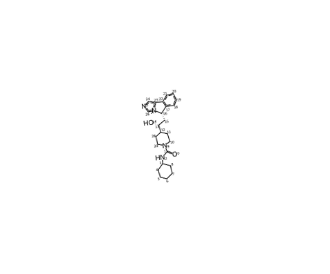 O=C(NC1CCCCC1)N1CCC([C@H](O)C[C@H]2c3ccccc3-c3cncn32)CC1